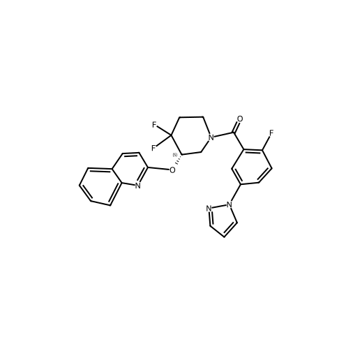 O=C(c1cc(-n2cccn2)ccc1F)N1CCC(F)(F)[C@@H](Oc2ccc3ccccc3n2)C1